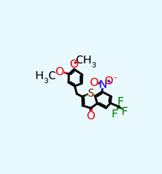 COc1ccc(Cc2cc(=O)c3cc(C(F)(F)F)cc([N+](=O)[O-])c3s2)cc1OC